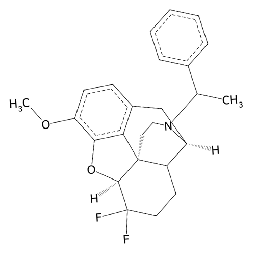 COc1ccc2c3c1O[C@@H]1C(F)(F)CCC4[C@H](C2)N(C(C)c2ccccc2)CC[C@]341